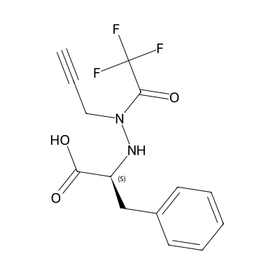 C#CCN(N[C@@H](Cc1ccccc1)C(=O)O)C(=O)C(F)(F)F